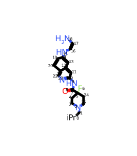 CC(C)CN1CCC(F)(C(=O)Nc2cc3cc(N/C=C\N)ccc3cn2)CC1